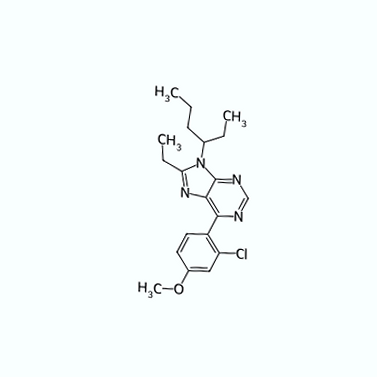 CCCC(CC)n1c(CC)nc2c(-c3ccc(OC)cc3Cl)ncnc21